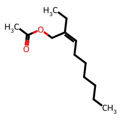 CCCCCCC=C(CC)COC(C)=O